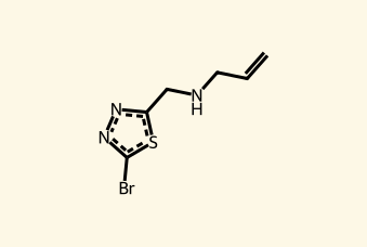 C=CCNCc1nnc(Br)s1